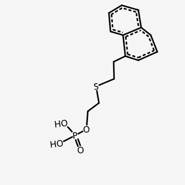 O=P(O)(O)OCCSCCc1cccc2ccccc12